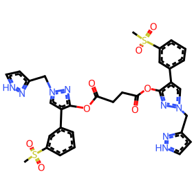 CS(=O)(=O)c1cccc(-c2cn(Cc3cc[nH]n3)nc2OC(=O)CCC(=O)Oc2nn(Cc3cc[nH]n3)cc2-c2cccc(S(C)(=O)=O)c2)c1